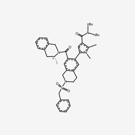 CCCCN(CCCC)C(=O)c1cc(-c2cc3c(cc2C(=O)N2Cc4ccccc4C[C@H]2C)CN(S(=O)(=O)Cc2ccccc2)CC3)n(C)c1C